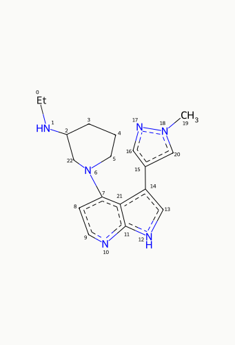 CCNC1CCCN(c2ccnc3[nH]cc(-c4cnn(C)c4)c23)C1